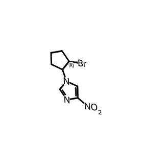 O=[N+]([O-])c1cn(C2CCC[C@H]2Br)cn1